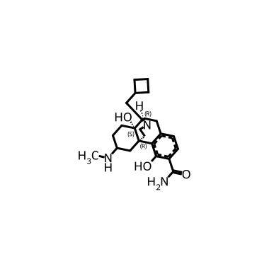 CNC1CC[C@@]2(O)[C@H]3Cc4ccc(C(N)=O)c(O)c4[C@@]2(CCN3CC2CCC2)C1